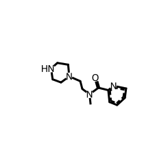 CN(CCN1CCNCC1)C(=O)c1ccccn1